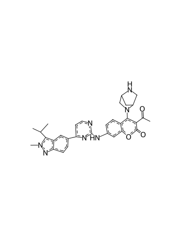 CC(=O)c1c(N2CC3CC2CN3)c2ccc(Nc3nccc(-c4ccc5nn(C)c(C(C)C)c5c4)n3)cc2oc1=O